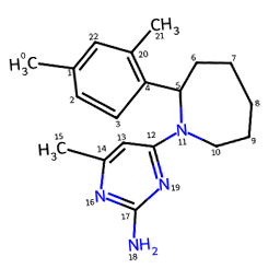 Cc1ccc(C2CCCCCN2c2cc(C)nc(N)n2)c(C)c1